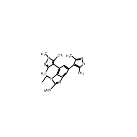 CSc1nc2cc(-c3c(C)noc3C)cc(-c3c(C)nn(C)c3C)c2n1CI